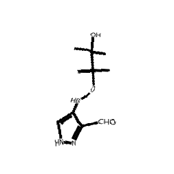 CC(C)(O)C(C)(C)OBc1c[nH]nc1C=O